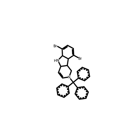 BrC1=CC=C(Br)C2C1NC1C=CN(C(c3ccccc3)(c3ccccc3)c3ccccc3)CC12